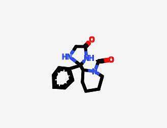 O=[C]N1CCCCC1C1(c2ccccc2)NCC(=O)N1